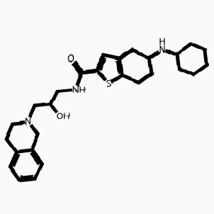 O=C(NCC(O)CN1CCc2ccccc2C1)c1cc2c(s1)CCC(NC1CCCCC1)C2